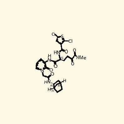 CNC(=O)C(=O)CC[C@H](NC(=O)c1cc(Cl)sc1Cl)C(=O)Nc1cccn(CC(=O)N[C@@H]2C[C@@H]3CC[C@H]2C3)c1=O